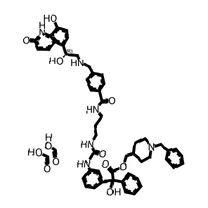 O=C(NCCCNC(=O)c1ccc(CNC[C@H](O)c2ccc(O)c3[nH]c(=O)ccc23)cc1)Nc1cccc(C(O)(C(=O)OCC2CCN(Cc3ccccc3)CC2)c2ccccc2)c1.O=CO.O=CO